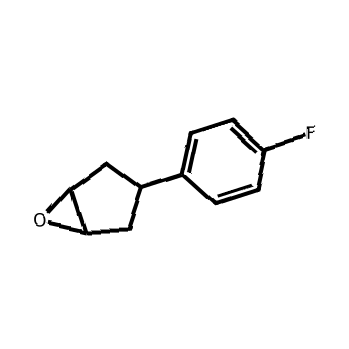 Fc1ccc(C2CC3OC3C2)cc1